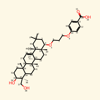 CC1(C)C[C@@H](OCCCOc2ccc(C(=O)O)cc2)[C@]2(C)CC[C@]3(C)C(=CCC4[C@@]5(C)CC[C@H](O)[C@](C)(CO)C5CC[C@]43C)[C@@H]2C1